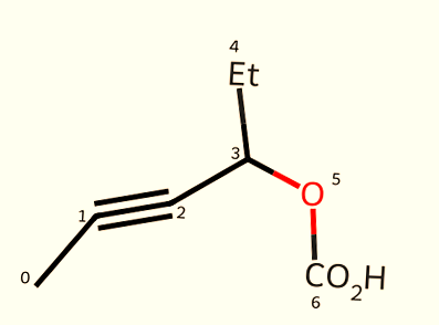 CC#CC(CC)OC(=O)O